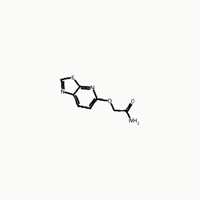 NC(=O)COc1ccc2n[c]sc2n1